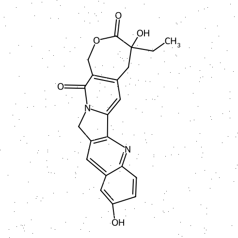 CCC1(O)Cc2cc3n(c(=O)c2COC1=O)Cc1cc2cc(O)ccc2nc1-3